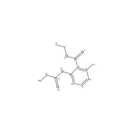 CCOC(=O)c1c(C)cccc1OC(=O)CC